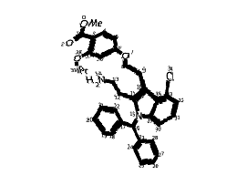 COC(=O)c1ccc(OCCc2c(CCN)n(C(c3ccccc3)c3ccccc3)c3cccc(Cl)c23)cc1OC(C)C